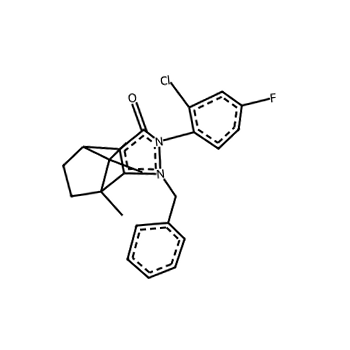 CC12CCC(c3c1n(Cc1ccccc1)n(-c1ccc(F)cc1Cl)c3=O)C2(C)C